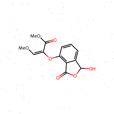 COC=C(Oc1cccc2c1C(=O)OC2O)C(=O)OC